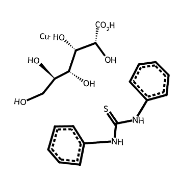 O=C(O)[C@H](O)[C@@H](O)[C@H](O)[C@H](O)CO.S=C(Nc1ccccc1)Nc1ccccc1.[Cu]